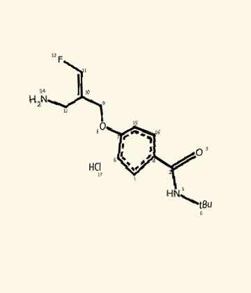 CC(C)(C)NC(=O)c1ccc(OC/C(=C/F)CN)cc1.Cl